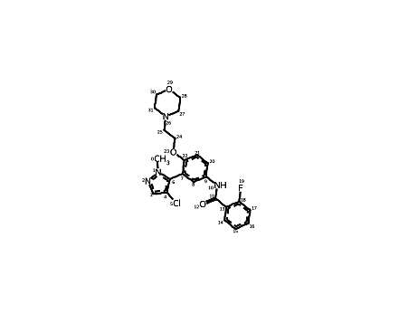 Cn1ncc(Cl)c1-c1cc(NC(=O)c2ccccc2F)ccc1OCCN1CCOCC1